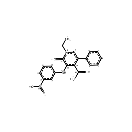 CCn1nc(-c2ccccc2)c(C(C)=O)c(Nc2cccc([N+](=O)[O-])c2)c1=O